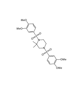 COc1ccc(S(=O)(=O)N2CCN(S(=O)(=O)c3ccc(OC)c(OC)c3)C(C)(C)C2)cc1OC